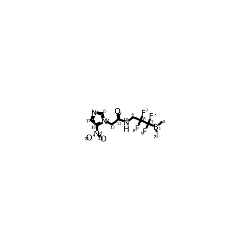 CB(I)C(F)(F)C(F)(F)CNC(=O)Cn1cncc1[N+](=O)[O-]